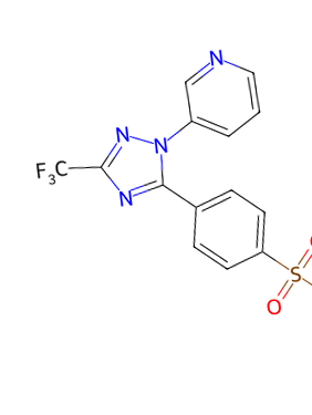 CS(=O)(=O)c1ccc(-c2nc(C(F)(F)F)nn2-c2cccnc2)cc1